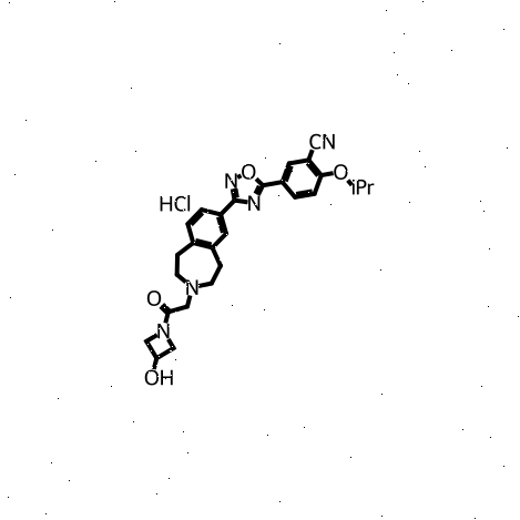 CC(C)Oc1ccc(-c2nc(-c3ccc4c(c3)CCN(CC(=O)N3CC(O)C3)CC4)no2)cc1C#N.Cl